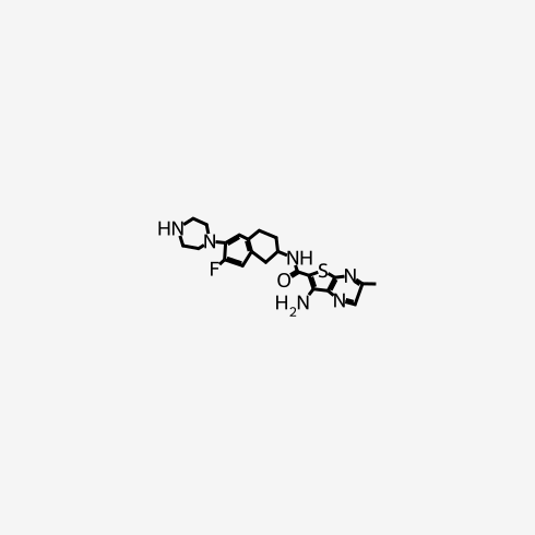 Cc1cnc2c(N)c(C(=O)NC3CCc4cc(N5CCNCC5)c(F)cc4C3)sc2n1